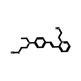 CCN(CCSS)c1ccc(/C=C/c2cccc[n+]2CCO)cc1